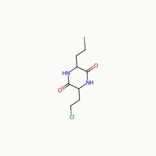 O=C1NC(CCI)C(=O)NC1CCCl